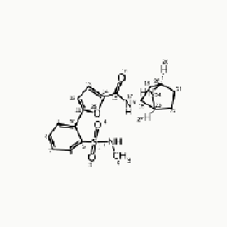 CNS(=O)(=O)c1ccccc1-c1ccc(C(=O)N[C@@H]2C[C@H]3CC[C@@H]2N3)o1